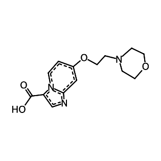 O=C(O)c1cnc2cc(OCCN3CCOCC3)ccn12